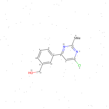 CSc1nc(Cl)cc(-c2cccc(CO)c2)n1